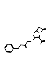 O=C(CCc1ccccc1)CSC1=C(C(=O)O)N2C(=O)C[C@@H]2S1